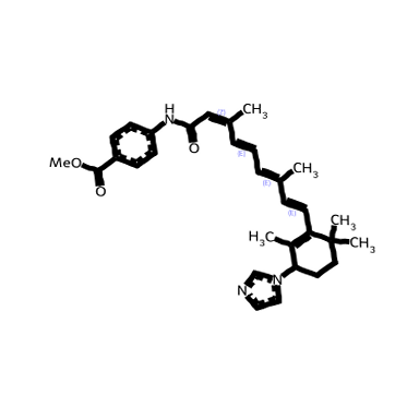 COC(=O)c1ccc(NC(=O)\C=C(C)/C=C/C=C(C)/C=C/C2=C(C)C(n3ccnc3)CCC2(C)C)cc1